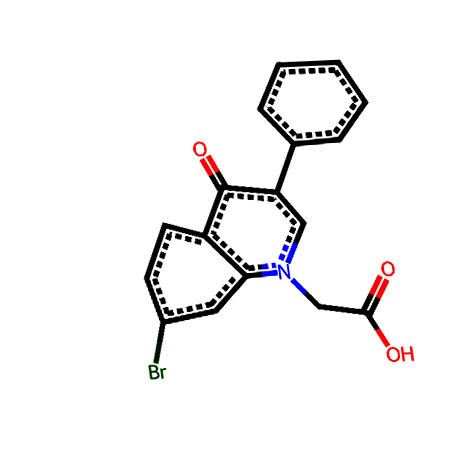 O=C(O)Cn1cc(-c2ccccc2)c(=O)c2ccc(Br)cc21